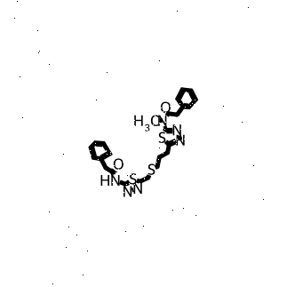 CN(C(=O)Cc1ccccc1)c1nnc(CCCSCc2nnc(NC(=O)Cc3ccccc3)s2)s1